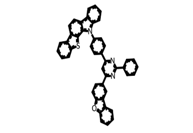 c1ccc(-c2nc(-c3ccc(-n4c5ccccc5c5ccc6c7ccccc7sc6c54)cc3)cc(-c3ccc4oc5ccccc5c4c3)n2)cc1